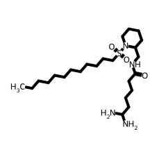 CCCCCCCCCCCCS(=O)(=O)N1CCCCC1CNC(=O)CCCCC(N)N